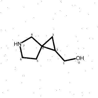 OCC1CC12CCNC2